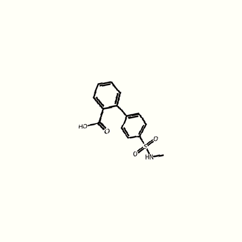 CNS(=O)(=O)c1ccc(-c2ccccc2C(=O)O)cc1